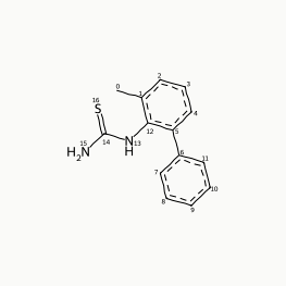 Cc1cccc(-c2ccccc2)c1NC(N)=S